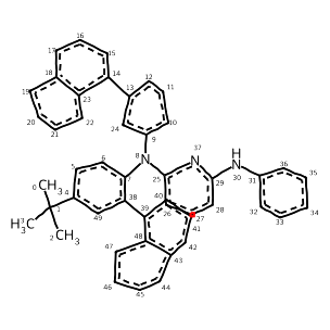 CC(C)(C)c1ccc(N(c2cccc(-c3cccc4ccccc34)c2)c2cccc(Nc3ccccc3)n2)c(-c2cccc3ccccc23)c1